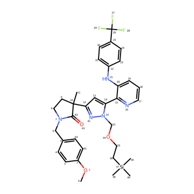 COc1ccc(CN2CCC(C)(c3cc(-c4ncccc4Nc4ccc(C(F)(F)F)cc4)n(COCC[Si](C)(C)C)n3)C2=O)cc1